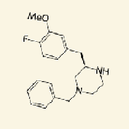 COc1cc(C[C@@H]2CN(Cc3ccccc3)CCN2)ccc1F